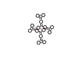 c1ccc2c(c1)c1ccccc1n2-c1ccc(N(c2ccc(-n3c4ccccc4c4ccccc43)cc2)c2ccncc2-c2cnccc2N(c2ccc(-n3c4ccccc4c4ccccc43)cc2)c2ccc(-n3c4ccccc4c4ccccc43)cc2)cc1